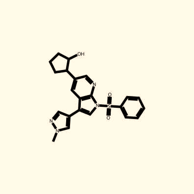 Cn1cc(-c2cn(S(=O)(=O)c3ccccc3)c3ncc(C4CCCC4O)cc23)cn1